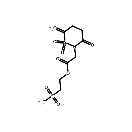 C=C1CCC(=O)N(CC(=O)OCCS(C)(=O)=O)S1(=O)=O